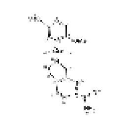 COc1ccc(OC)c(S(=O)(=O)N2CCc3[c]nc(C(N)=O)nc3C2)c1